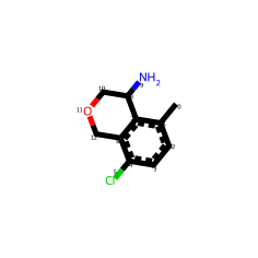 Cc1ccc(Cl)c2c1C(N)COC2